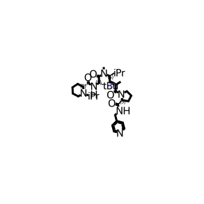 C/C(=C\[C@H](C(C)C)N(C)C(=O)[C@@H](NC(=O)[C@H]1CCCCN1C(C)C)C(C)(C)C)C(=O)N1CCC[C@H]1C(=O)NCc1ccncc1